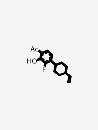 C=CC1CCC(c2ccc(C(C)=O)c(O)c2F)CC1